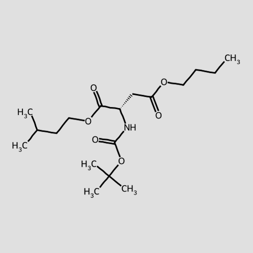 CCCCOC(=O)C[C@H](NC(=O)OC(C)(C)C)C(=O)OCCC(C)C